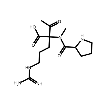 CC(=O)C(CCCNC(=N)N)(C(=O)O)N(C)C(=O)C1CCCN1